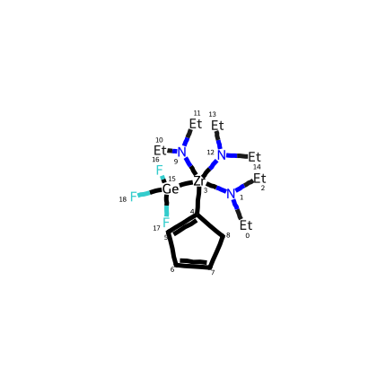 CC[N](CC)[Zr]([C]1=CC=CC1)([N](CC)CC)([N](CC)CC)[Ge]([F])([F])[F]